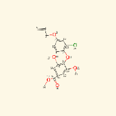 C=CCOc1ccc(Oc2c(OC)cc(C(=O)OC)cc2OC)c(Cl)c1